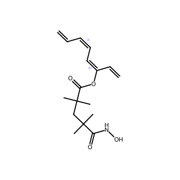 C=C/C=C\C=C(/C=C)OC(=O)C(C)(C)CC(C)(C)C(=O)NO